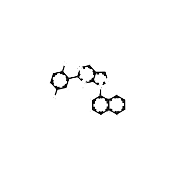 Nc1ccc(N)c(-c2ncc3cnn(-c4cccc5ccccc45)c3n2)c1